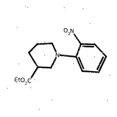 CCOC(=O)C1CCCN(c2ccccc2[N+](=O)[O-])C1